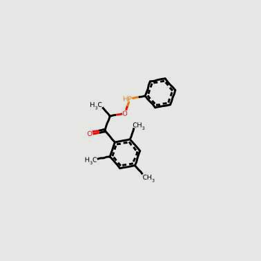 Cc1cc(C)c(C(=O)C(C)OPc2ccccc2)c(C)c1